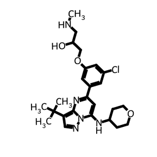 CNCC(O)COc1cc(Cl)cc(-c2cc(NC3CCOCC3)n3ncc(C(C)(C)C)c3n2)c1